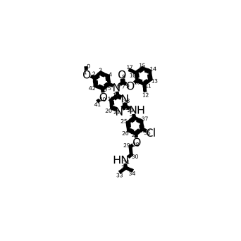 COc1ccc(N(C(=O)Oc2c(C)cccc2C)c2ccnc(Nc3ccc(OCCNC(C)C)c(Cl)c3)n2)c(OC)c1